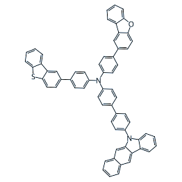 c1ccc2cc3c(cc2c1)c1ccccc1n3-c1ccc(-c2ccc(N(c3ccc(-c4ccc5oc6ccccc6c5c4)cc3)c3ccc(-c4ccc5sc6ccccc6c5c4)cc3)cc2)cc1